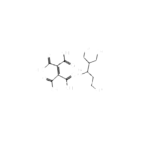 CC(=O)C(C(C)=O)=C(C(C)=O)C(C)=O.CCCC(O)C(CC)CO